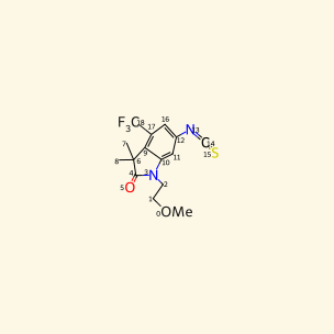 COCCN1C(=O)C(C)(C)c2c1cc(N=C=S)cc2C(F)(F)F